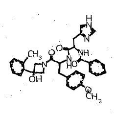 COc1ccc(CC(NC(=O)C(Cc2c[nH]cn2)NC(=O)c2ccccc2)C(=O)N2CC(O)(c3ccccc3C)C2)cc1